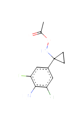 CC(=O)ONC1(c2cc(F)c(N)c(Cl)c2)CC1